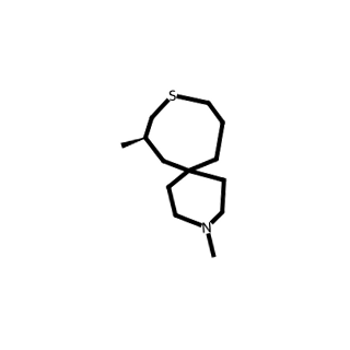 C[C@H]1CSCCCC2(CCN(C)CC2)C1